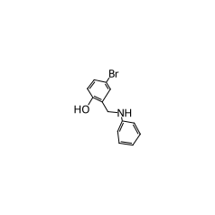 Oc1ccc(Br)cc1CNc1ccccc1